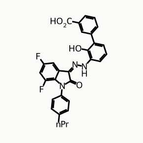 CCCc1ccc(N2C(=O)/C(=N\Nc3cccc(-c4cccc(C(=O)O)c4)c3O)c3cc(F)cc(F)c32)cc1